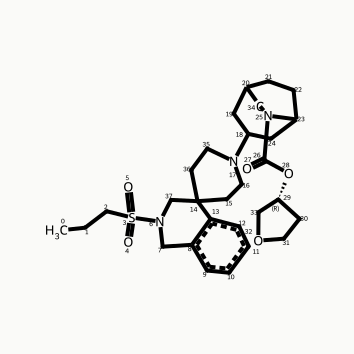 CCCS(=O)(=O)N1Cc2ccccc2C2(CCN(C3CC4CCC(C3)N(C(=O)O[C@@H]3CCOC3)C4)CC2)C1